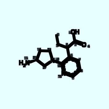 C[CH]C(C(=O)O)c1cccnc1N1CC[C@H](N)C1